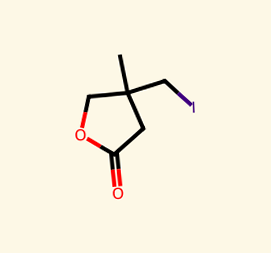 CC1(CI)COC(=O)C1